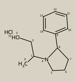 CC(CO)N1CCCC1c1ccccc1.Cl